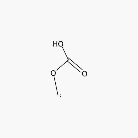 [CH]OC(=O)O